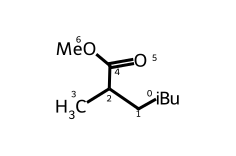 CCC(C)CC(C)C(=O)OC